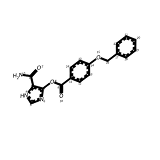 NC(=O)c1[nH]cnc1OC(=O)c1ccc(OCc2ccccc2)cc1